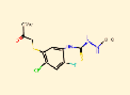 COC(=O)CSc1cc(NC(=S)NNC=O)c(F)cc1Cl